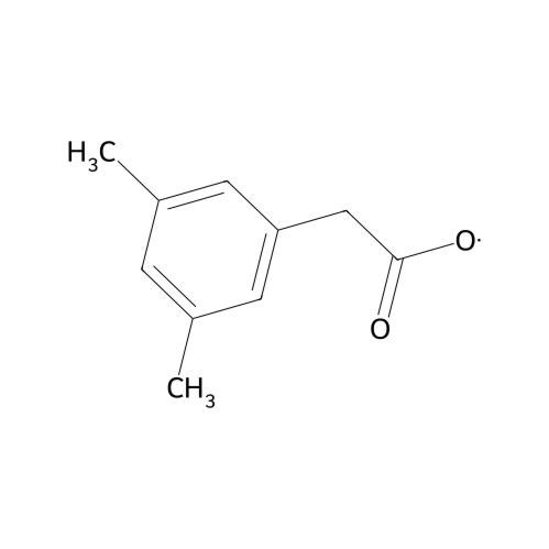 Cc1cc(C)cc(CC([O])=O)c1